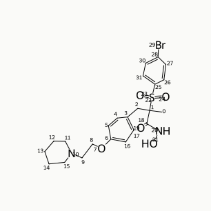 CC(Cc1ccc(OCCN2CCCCC2)cc1)(C(=O)NO)S(=O)(=O)c1ccc(Br)cc1